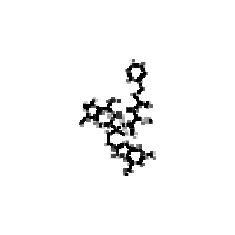 CCC(C)C(NC(=O)OCc1ccccc1)C(=O)N[C@]1(C(=O)NC(c2nc(C)no2)C(C)CC)CCc2[nH]c3c(Cl)cc(Cl)cc3c2C1